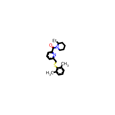 CCC1CCCCN1C(=O)c1cccc(CSc2c(C)cccc2C)n1